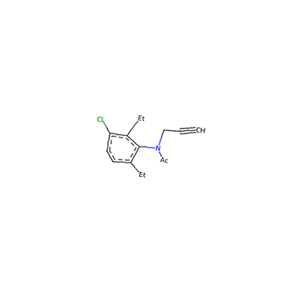 C#CCN(C(C)=O)c1c(CC)ccc(Cl)c1CC